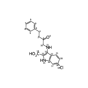 O=C(CCc1ccccc1)CNc1c(C(=O)O)[nH]c2cc(Cl)ccc12